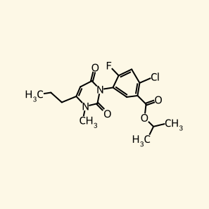 CCCc1cc(=O)n(-c2cc(C(=O)OC(C)C)c(Cl)cc2F)c(=O)n1C